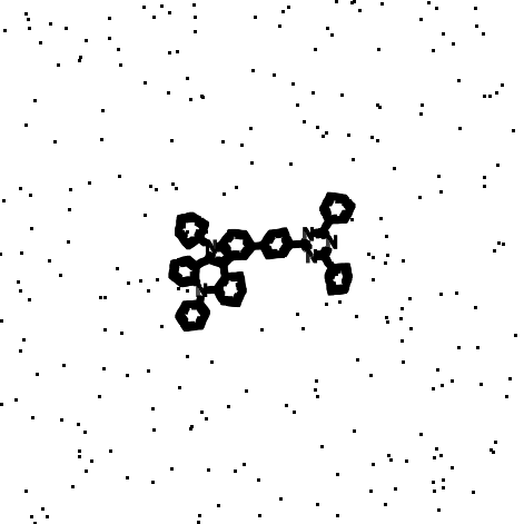 c1ccc(-c2nc(-c3ccccc3)nc(-c3ccc(-c4ccc5c(c4)c4c(n5-c5ccccc5)-c5ccccc5N(c5ccccc5)c5ccccc5-4)cc3)n2)cc1